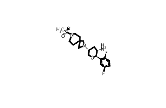 CS(=O)(=O)N1CCC2(CC1)CN([C@H]1CO[C@H](c3cc(F)ccc3F)[C@@H](N)C1)C2